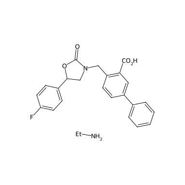 CCN.O=C(O)c1cc(-c2ccccc2)ccc1CN1CC(c2ccc(F)cc2)OC1=O